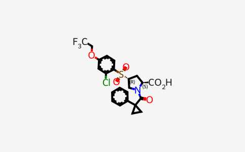 O=C(O)[C@@H]1C[C@@H](S(=O)(=O)c2ccc(OCC(F)(F)F)cc2Cl)CN1C(=O)C1(c2ccccc2)CC1